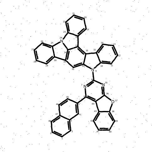 c1ccc2cc(-c3nc(-n4c5ccccc5c5c6c7ccccc7n7c8ccccc8c(cc54)c67)nc4oc5ccccc5c34)ccc2c1